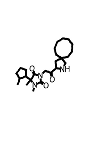 CC1CCCC1C1(C)C(=O)N(CC(=O)C2CC3(CCCCCCCC3)CN2)C(=O)N1C